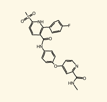 CNC(=O)c1cc(Oc2ccc(NC(=O)C3=C(c4ccc(F)cc4)NC(S(C)(=O)=O)=C=C3)cc2)ccn1